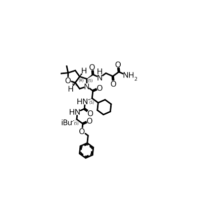 CCC(C)[C@H](NC(=O)N[C@H](C(=O)N1C[C@@H]2OC(C)(C)C[C@@H]2[C@H]1C(=O)NCC(=O)C(N)=O)C1CCCCC1)C(=O)OCc1ccccc1